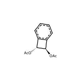 CC(=O)O[C@@H]1c2ccccc2[C@H]1OC(C)=O